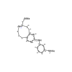 CNC/C1=N/CCCc2cnc(Nc3cccc(NC(C)=O)c3)nc2CS1